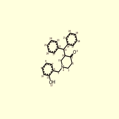 O=C1CCN(Cc2ccccc2O)CC1C(c1ccccc1)c1ccccc1